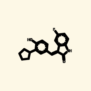 O=C1Nc2ccc(F)cc2/C1=C\c1ccc(O)c(C2CCCC2)c1